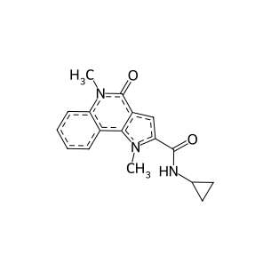 Cn1c(C(=O)NC2CC2)cc2c(=O)n(C)c3ccccc3c21